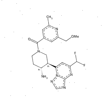 COCc1cc(C(=O)N2CC[C@@H](N)[C@H](c3cc(C(F)F)nc4ncnn34)C2)cc(C)n1